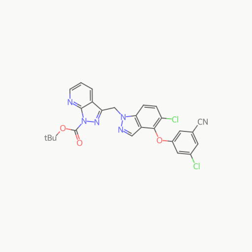 CC(C)(C)OC(=O)n1nc(Cn2ncc3c(Oc4cc(Cl)cc(C#N)c4)c(Cl)ccc32)c2cccnc21